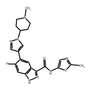 Cc1ncc(NC(=O)c2n[nH]c3cc(F)c(-c4cnn(C5CCN(C)CC5)c4)cc23)s1